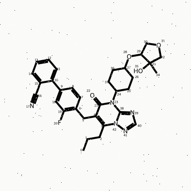 CCCc1c(Cc2ccc(-c3ccccc3C#N)cc2F)c(=O)n(C2CCC(OC3COCC3(C)O)CC2)c2ncnn12